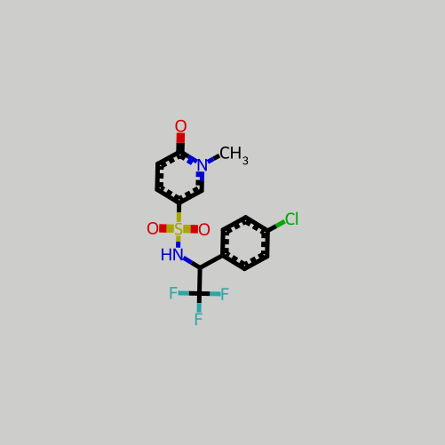 Cn1cc(S(=O)(=O)NC(c2ccc(Cl)cc2)C(F)(F)F)ccc1=O